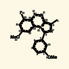 COc1cccc(-c2nc(C)c3nnc4c(F)cc(OC)cc4n23)c1